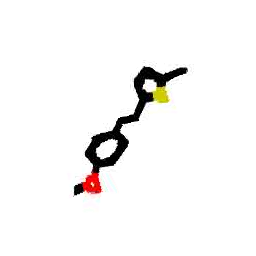 COc1ccc(C=Cc2ccc(C)s2)cc1